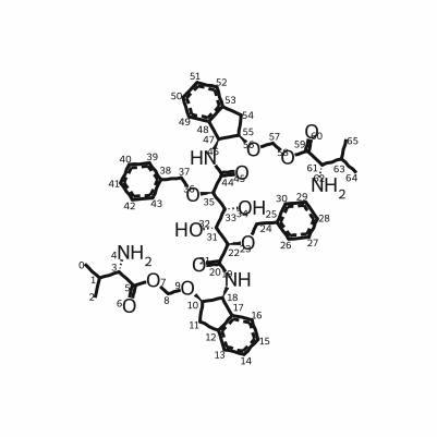 CC(C)[C@H](N)C(=O)OCO[C@@H]1Cc2ccccc2[C@@H]1NC(=O)[C@H](OCc1ccccc1)[C@H](O)[C@@H](O)[C@@H](OCc1ccccc1)C(=O)N[C@H]1c2ccccc2C[C@H]1OCOC(=O)[C@@H](N)C(C)C